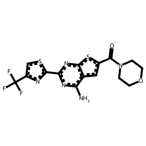 Nc1nc(-c2nc(C(F)(F)F)cs2)nc2sc(C(=O)N3CCOCC3)cc12